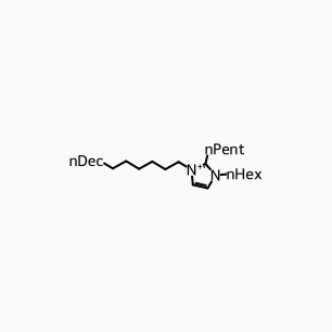 CCCCCCCCCCCCCCCC[n+]1ccn(CCCCCC)c1CCCCC